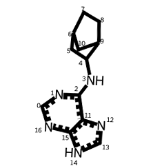 c1nc(NC2CC3CCC2C3)c2nc[nH]c2n1